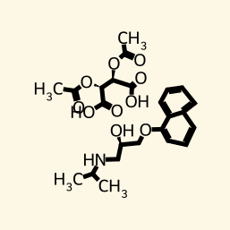 CC(=O)O[C@@H](C(=O)O)[C@@H](OC(C)=O)C(=O)O.CC(C)NC[C@@H](O)COc1cccc2ccccc12